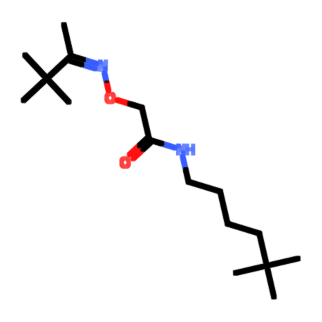 C/C(=N/OCC(=O)NCCCCC(C)(C)C)C(C)(C)C